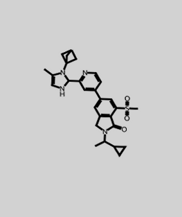 CC1=CNC(c2cc(-c3cc4c(c(S(C)(=O)=O)c3)C(=O)N(C(C)C3CC3)C4)ccn2)N1C12CC(C1)C2